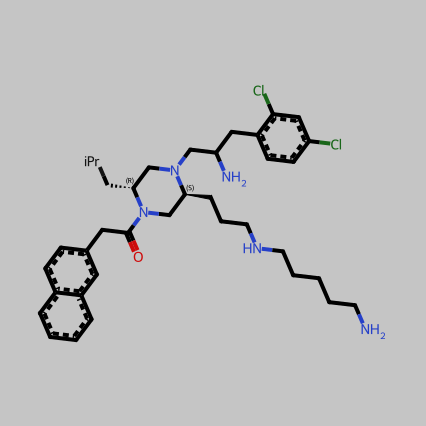 CC(C)C[C@@H]1CN(CC(N)Cc2ccc(Cl)cc2Cl)[C@@H](CCCNCCCCCN)CN1C(=O)Cc1ccc2ccccc2c1